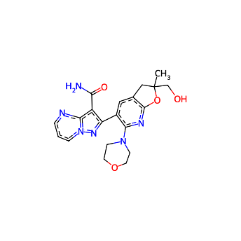 CC1(CO)Cc2cc(-c3nn4cccnc4c3C(N)=O)c(N3CCOCC3)nc2O1